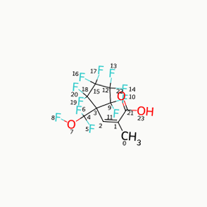 CC(=CC1(C(F)(F)OF)C(F)(F)C(F)(F)C(F)(F)C1(F)F)C(=O)O